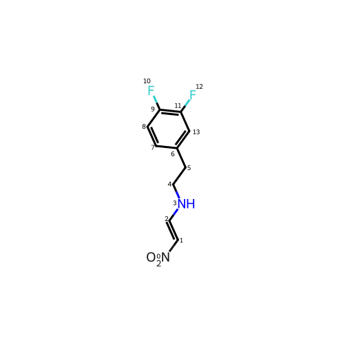 O=[N+]([O-])C=CNCCc1ccc(F)c(F)c1